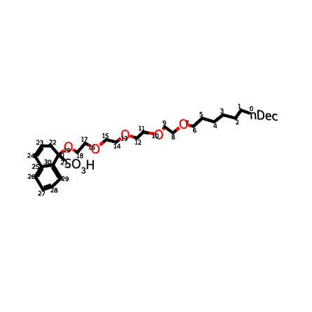 CCCCCCCCCCCCCCCCOCCOCCOCCOCCOC1(S(=O)(=O)O)CC=Cc2ccccc21